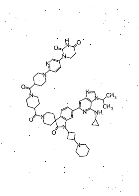 CC(C)n1cnc2cc(-c3ccc4c(c3)N(C3CC(N5CCCCC5)C3)C(=O)C43CCN(C(=O)C4CCN(C(=O)C5CCN(c6ccc(N7CCC(=O)NC7=O)cn6)CC5)CC4)CC3)nc(NC3CC3)c21